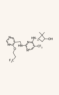 CC1(C)C(O)C[C@@H]1Nc1nc(NCc2cncnc2OCCC(F)(F)F)ncc1C(F)(F)F